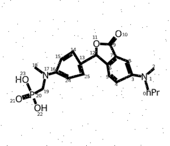 CCCN(C)c1ccc2c(c1)C(=O)OC2c1ccc(N(C)CP(=O)(O)O)cc1